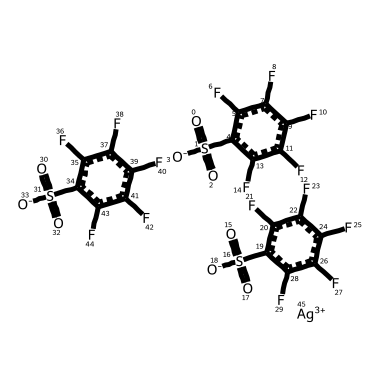 O=S(=O)([O-])c1c(F)c(F)c(F)c(F)c1F.O=S(=O)([O-])c1c(F)c(F)c(F)c(F)c1F.O=S(=O)([O-])c1c(F)c(F)c(F)c(F)c1F.[Ag+3]